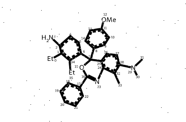 CCc1c(N)ccc(C2(c3ccc(OC)cc3)OC(c3ccccc3)=Nc3c2ccc(N(C)C)c3C)c1CC